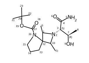 CC1N([C@H](C(N)=O)[C@@H](C)O)C(C)C12CCCN2C(=O)OC(C)(C)C